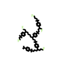 C=C(C)c1ccc(C(C)(C)CCCC(CCCF)c2ccc(C(C)(C)CCC(CCCCC(CCF)c3ccc(C(C)(C)CCF)cc3)c3ccc(C(C)(C)CCC(CF)c4ccc(C(C)(C)CCCF)cc4)cc3)cc2)cc1